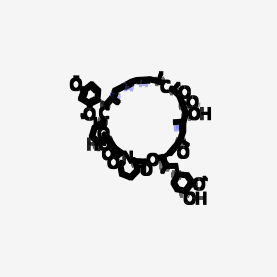 COc1ccc([C@H]2C[C@@H]3CC[C@@H](C)[C@@](O)(O3)C(=O)C(=O)N3CCCC[C@H]3C(=O)O[C@H]([C@H](C)C[C@@H]3CC[C@@H](O)[C@H](OC)C3)CC(=O)[C@H](C)/C=C(\C)[C@@H](O)[C@@H](OC)C(=O)[C@H](C)C[C@H](C)/C=C/C=C/C=C/2C)c(OC)c1